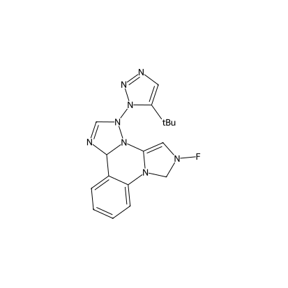 CC(C)(C)c1cnnn1N1C=NC2c3ccccc3N3CN(F)C=C3N21